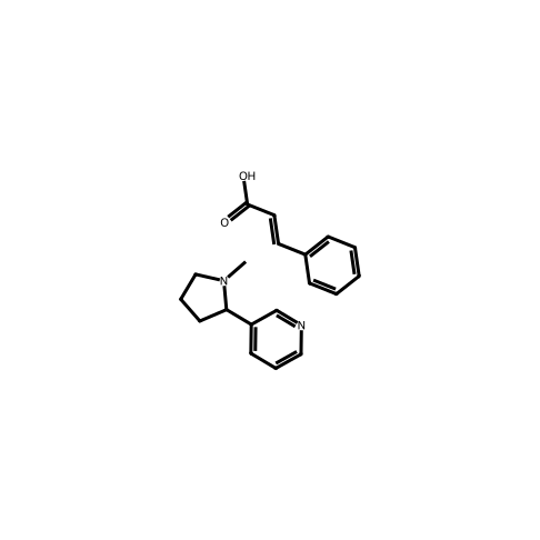 CN1CCCC1c1cccnc1.O=C(O)/C=C/c1ccccc1